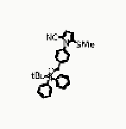 CSc1ccc(C#N)n1-c1ccc(CO[Si](c2ccccc2)(c2ccccc2)C(C)(C)C)cc1